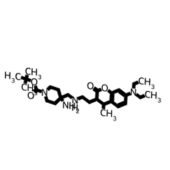 CCN(CC)c1ccc2c(c1)OC(=O)C(CCNCC1(N)CCN(C(=O)OC(C)(C)C)CC1)C2C